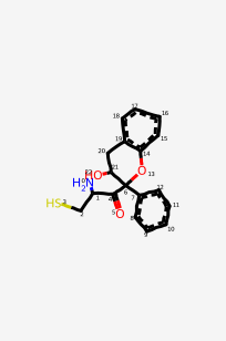 NC(CS)C(=O)C1(c2ccccc2)Oc2ccccc2CC1O